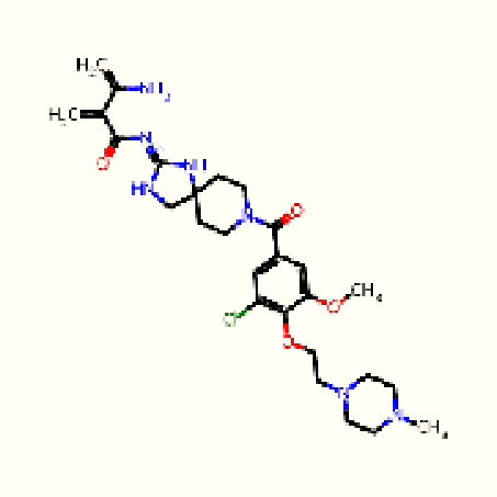 C=C(N)C(=C)C(=O)/N=C1\NCC2(CCN(C(=O)c3cc(Cl)c(OCCN4CCN(C)CC4)c(OC)c3)CC2)N1